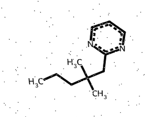 CCCC(C)(C)Cc1ncccn1